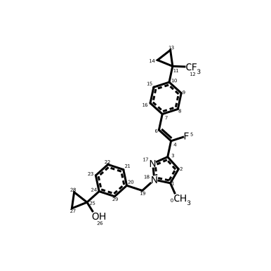 Cc1cc(/C(F)=C/c2ccc(C3(C(F)(F)F)CC3)cc2)nn1Cc1cccc(C2(O)CC2)c1